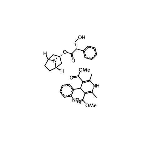 CN1[C@@H]2CC[C@H]1C[C@@H](OC(=O)[C@H](CO)c1ccccc1)C2.COC(=O)C1=C(C)NC(C)=C(C(=O)OC)C1c1ccccc1[N+](=O)[O-]